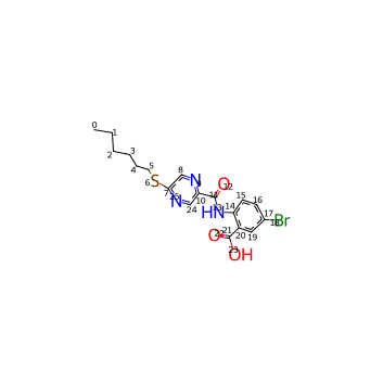 CCCCCCSc1cnc(C(=O)Nc2ccc(Br)cc2C(=O)O)cn1